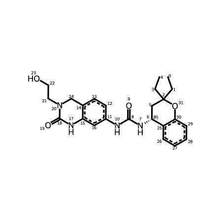 CCC1(CC)C[C@@H](NC(=O)Nc2ccc3c(c2)NC(=O)N(CCO)C3)c2ccccc2O1